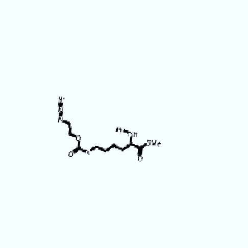 CSC(=O)C(CCCCNC(=O)OCCN=[N+]=[N-])NC(C)C